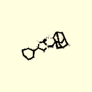 O=C1OC(C2CCCCC2)CN1CC12CC3CC(CC(C3)C1)C2